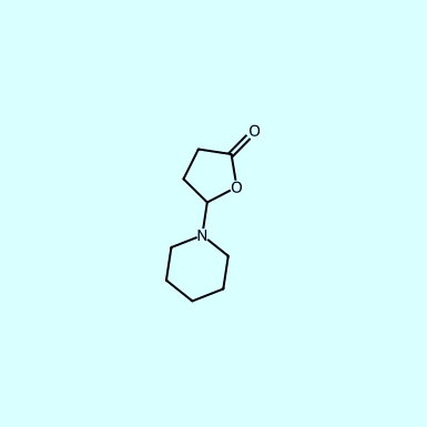 O=C1CCC(N2CCCCC2)O1